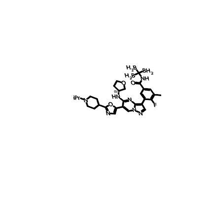 BC(B)(B)NC(=O)c1cc(C)c(F)c(-c2cnn3cc(-c4cnc(C5CCN(C(C)C)CC5)o4)c(N[C@H]4CCOC4)nc23)c1